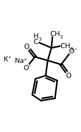 CC(C)(C)C(C(=O)[O-])(C(=O)[O-])c1ccccc1.[K+].[Na+]